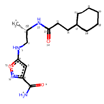 C[C@@H](CNc1cc(C(N)=O)no1)NC(=O)[CH]CC1CCCCC1